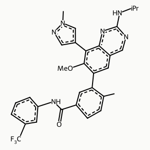 COc1c(-c2cc(C(=O)Nc3cccc(C(F)(F)F)c3)ccc2C)cc2cnc(NC(C)C)nc2c1-c1cnn(C)c1